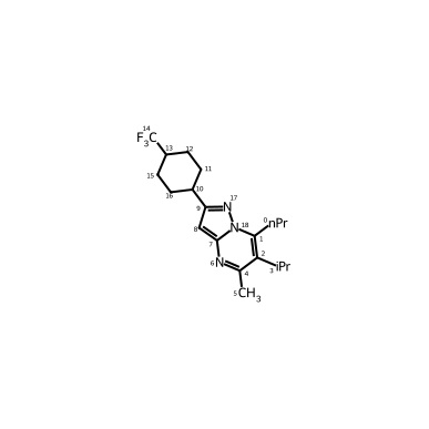 [CH2][CH]Cc1c(C(C)C)c(C)nc2cc(C3CCC(C(F)(F)F)CC3)nn12